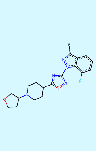 CCc1nn(-c2noc(C3CCN(C4CCOC4)CC3)n2)c2c(F)cccc12